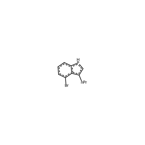 CCCc1c[pH]c2cccc(Br)c12